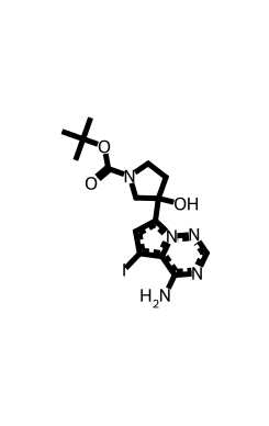 CC(C)(C)OC(=O)N1CCC(O)(c2cc(I)c3c(N)ncnn23)C1